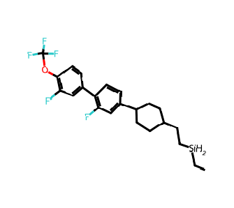 CC[SiH2]CCC1CCC(c2ccc(-c3ccc(OC(F)(F)F)c(F)c3)c(F)c2)CC1